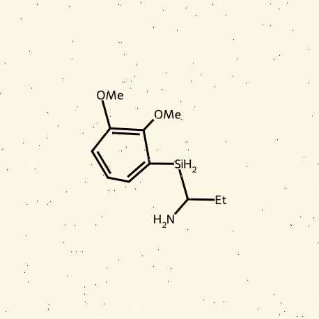 CCC(N)[SiH2]c1cccc(OC)c1OC